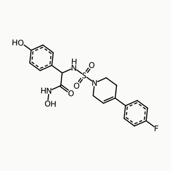 O=C(NO)C(NS(=O)(=O)N1CC=C(c2ccc(F)cc2)CC1)c1ccc(O)cc1